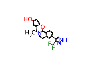 CC(c1cccc(O)c1)n1ccc2cc(-c3c[nH]nc3C(F)F)ccc2c1=O